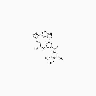 CCN(CC)[C@@H](C)CNC(=O)c1cc(N[C@H](C)CO)nc(-c2cnn3ccc(-c4cccs4)nc23)c1